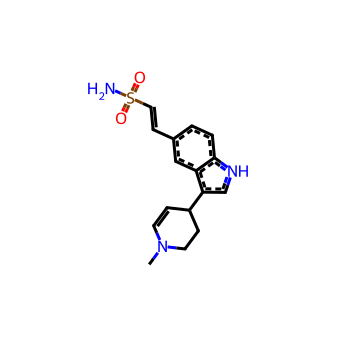 CN1C=CC(c2c[nH]c3ccc(C=CS(N)(=O)=O)cc23)CC1